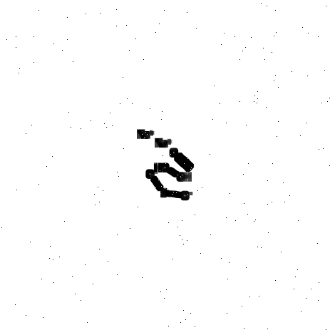 C=O.OO.[Na+].[Na+].[O-]S[O-]